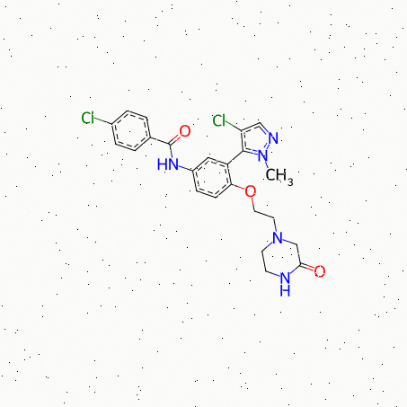 Cn1ncc(Cl)c1-c1cc(NC(=O)c2ccc(Cl)cc2)ccc1OCCN1CCNC(=O)C1